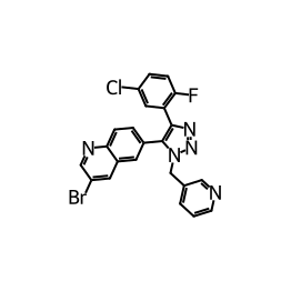 Fc1ccc(Cl)cc1-c1nnn(Cc2cccnc2)c1-c1ccc2ncc(Br)cc2c1